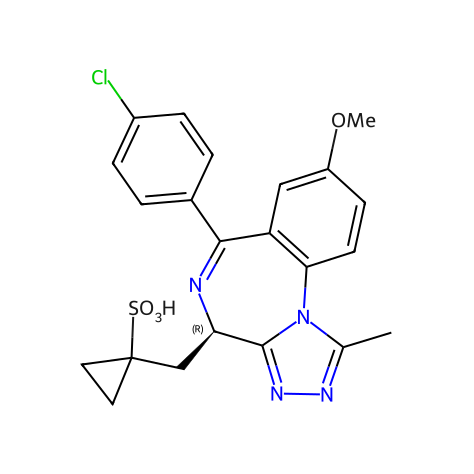 COc1ccc2c(c1)C(c1ccc(Cl)cc1)=N[C@H](CC1(S(=O)(=O)O)CC1)c1nnc(C)n1-2